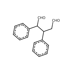 O=CCC(c1ccccc1)C(C=O)c1ccccc1